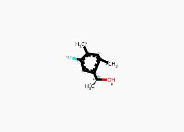 Cc1cc(C)c([C@@H](C)O)cc1F